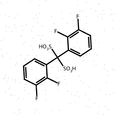 O=S(=O)(O)C(c1cccc(F)c1F)(c1cccc(F)c1F)S(=O)(=O)O